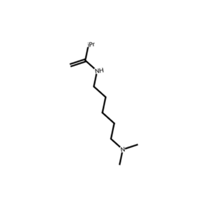 C=C(NCCCCCN(C)C)C(C)C